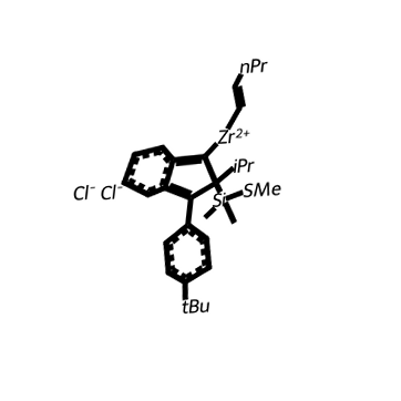 CCCC=[CH][Zr+2][C]1=c2ccccc2=C(c2ccc(C(C)(C)C)cc2)C1(C(C)C)[Si](C)(C)SC.[Cl-].[Cl-]